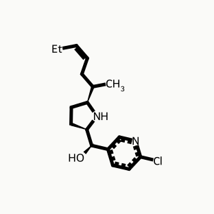 CC/C=C\CC(C)[C@@H]1CC[C@H]([C@H](O)c2ccc(Cl)nc2)N1